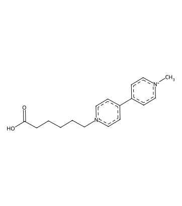 C[n+]1ccc(-c2cc[n+](CCCCCC(=O)O)cc2)cc1